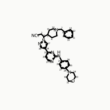 N#CCC(C1CCN(Cc2ccccc2)CC1)n1cc(-c2ccnc(Nc3ccc(N4CCOCC4)cc3)n2)cn1